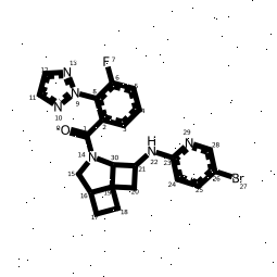 O=C(c1cccc(F)c1-n1nccn1)N1CC2CCC23CC(Nc2ccc(Br)cn2)C13